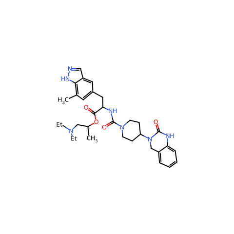 CCN(CC)CC(C)OC(=O)C(Cc1cc(C)c2[nH]ncc2c1)NC(=O)N1CCC(N2Cc3ccccc3NC2=O)CC1